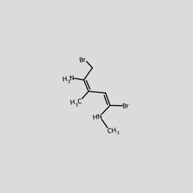 CN/C(Br)=C\C(C)=C(\N)CBr